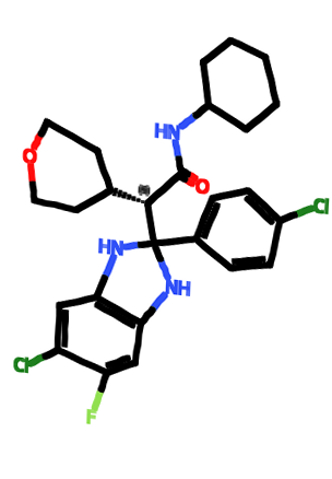 O=C(NC1CCCCC1)[C@@H](C1CCOCC1)C1(c2ccc(Cl)cc2)Nc2cc(F)c(Cl)cc2N1